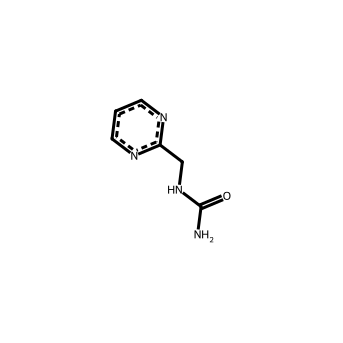 NC(=O)NCc1ncccn1